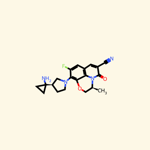 C[C@H]1COc2c(N3CC[C@@H](C4(N)CC4)C3)c(F)cc3cc(C#N)c(=O)n1c23